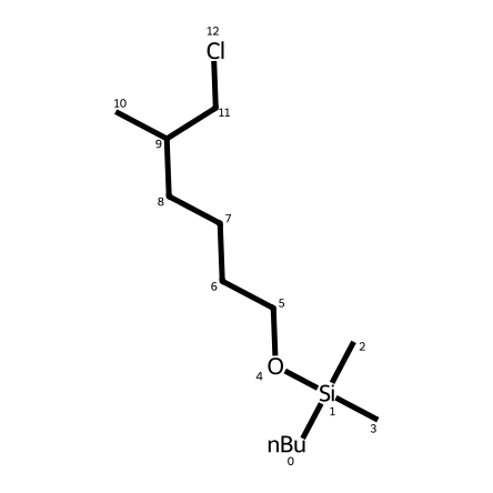 CCCC[Si](C)(C)OCCCCC(C)CCl